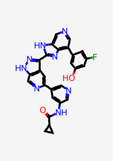 O=C(Nc1cncc(-c2cc3c(-c4nc5c(-c6cc(O)cc(F)c6)cncc5[nH]4)n[nH]c3cn2)c1)C1CC1